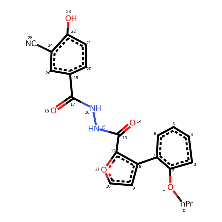 CCCOc1ccccc1-c1ccoc1C(=O)NNC(=O)c1ccc(O)c(C#N)c1